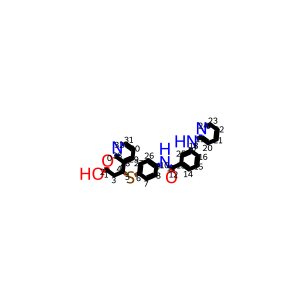 O=C(O)CC(Sc1ccc(NC(=O)c2cccc(Nc3ccccn3)c2)cc1)c1cccnc1